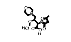 COC(CN1CCOCC1)C(C(=O)O)n1oc(C)cc1=O.Cl